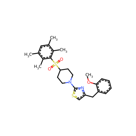 COc1ccccc1Cc1csc(N2CCC(S(=O)(=O)c3c(C)c(C)cc(C)c3C)CC2)n1